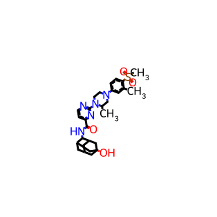 Cc1cc(N2CCN(c3nccc(C(=O)NC4C5CC6CC4CC(O)(C6)C5)n3)C(C)C2)ccc1S(C)(=O)=O